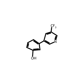 Oc1cccc(-c2cncc(C(F)(F)F)c2)c1